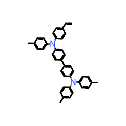 C=Cc1ccc(N(c2ccc(C)cc2)c2ccc(-c3ccc(N(c4ccc(C)cc4)c4ccc(C)cc4)cc3)cc2)cc1